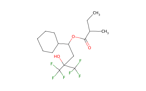 CCC(C)C(=O)OC(CC(O)(C(F)(F)F)C(F)(F)F)C1CCCCC1